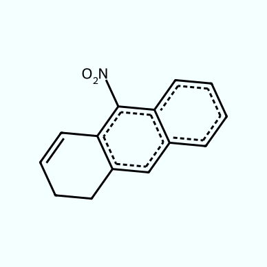 O=[N+]([O-])c1c2c(cc3ccccc13)CCC=C2